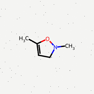 CC1=C[CH]N(C)O1